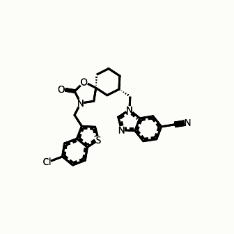 N#Cc1ccc2ncn(C[C@H]3CCC[C@]4(C3)CN(Cc3csc5ccc(Cl)cc35)C(=O)O4)c2c1